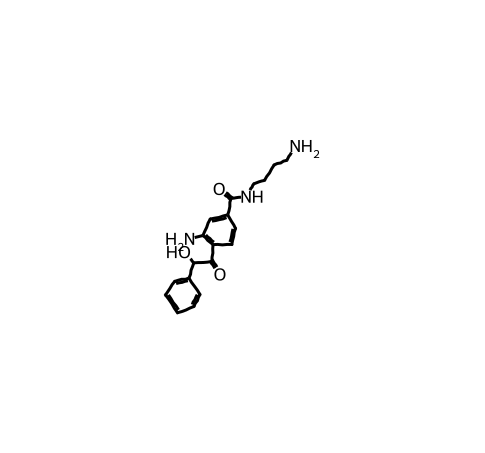 NCCCCNC(=O)c1ccc(C(=O)C(O)c2ccccc2)c(N)c1